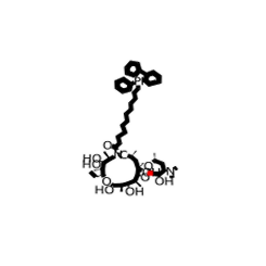 CC[C@H]1OC(O)[C@H](C)[C@@H](O)[C@H](C)[C@@H](O[C@@H]2O[C@H](C)C[C@H](N(C)C)[C@H]2O)[C@](C)(O)C[C@@H](C)CN(C(=O)CCCCCCCCCCC[PH]2(c3ccccc3)c3ccccc3-c3ccccc32)[C@H](C)[C@@H](O)[C@]1(C)O